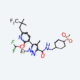 CCn1nc(C(=O)NCC2CCC(S(C)(=O)=O)CC2)c(C)c1-c1ccc(CC(C)(C)C(F)(F)F)nc1OC(F)F